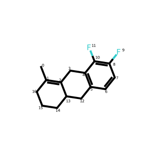 CC1=C2Cc3c(ccc(F)c3F)CC2CCC1